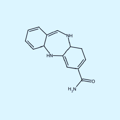 NC(=O)C1=CCC2NC=C3C=CC=CC3NC2=C1